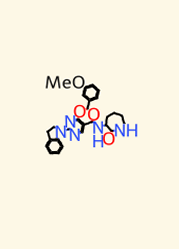 COc1cccc(COc2nc(N3CCc4ccccc43)ncc2C(=O)NC2CCCCNC2=O)c1